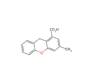 Cc1cc2c(c(C(=O)O)c1)Cc1ccccc1O2